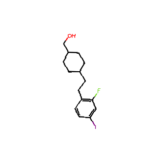 OCC1CCC(CCc2ccc(I)cc2F)CC1